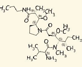 CCCNC(=O)[C@H](C)[C@@H](OC)[C@@H]1CCCN1C(=O)C[C@@H](OC)[C@H]([C@@H](C)CC)N(C)C(=O)[C@@H](N)C(C)C